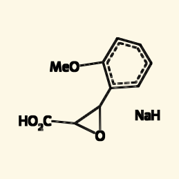 COc1ccccc1C1OC1C(=O)O.[NaH]